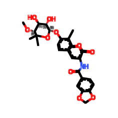 CO[C@@H]1[C@@H](O)[C@H](O)[C@H](Oc2ccc3cc(NC(=O)c4ccc5c(c4)OCO5)c(=O)oc3c2C)OC1(C)C